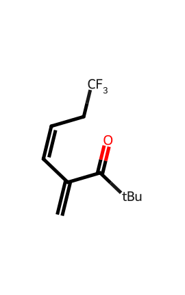 C=C(/C=C\CC(F)(F)F)C(=O)C(C)(C)C